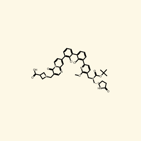 COc1nc(-c2cccc(-c3cccc(-c4ccn5c(=O)c(CN6CC(C(=O)O)C6)cnc5c4)c3Cl)c2Cl)ccc1CN(C[C@@H]1CCC(=O)N1)C(=O)OC(C)(C)C